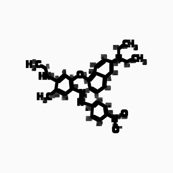 CCNc1cc(Oc2cccc3cc(N(CC)CC)ccc23)c(/N=N/c2ccc([N+](=O)[O-])cc2)cc1C